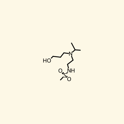 CC(C)N(CCCO)CCNS(C)(=O)=O